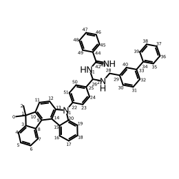 CC1(C)c2ccccc2-c2c1ccc1c2c2ccccc2n1-c1ccc(C(NCc2cccc(-c3ccccc3)c2)NC(=N)c2ccccc2)cc1